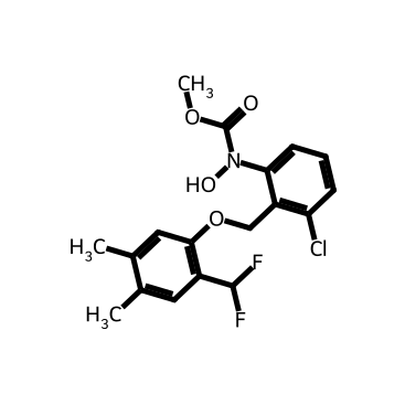 COC(=O)N(O)c1cccc(Cl)c1COc1cc(C)c(C)cc1C(F)F